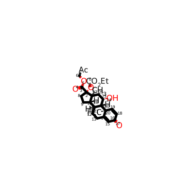 CCOC(=O)O[C@]1(C(=O)OCC(C)=O)CC[C@H]2[C@@H]3CCC4=CC(=O)C=C[C@]4(C)[C@H]3[C@@H](O)C[C@@]21C